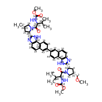 COC[C@H]1C[C@@H](c2nc3ccc4cc(-c5ccc6c(ccc7nc([C@@H]8C[C@H](C)CN8C(=O)[C@@H](NC(=O)OC)C(C)C)[nH]c76)c5)ccc4c3[nH]2)N(C(=O)[C@@H](NC(=O)OC)C(C)C)C1